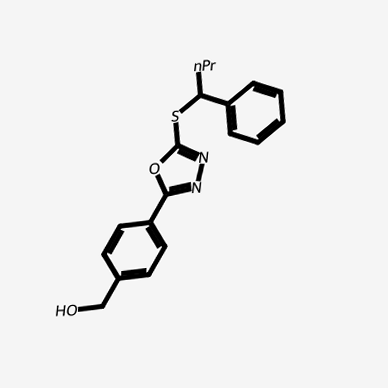 CCCC(Sc1nnc(-c2ccc(CO)cc2)o1)c1ccccc1